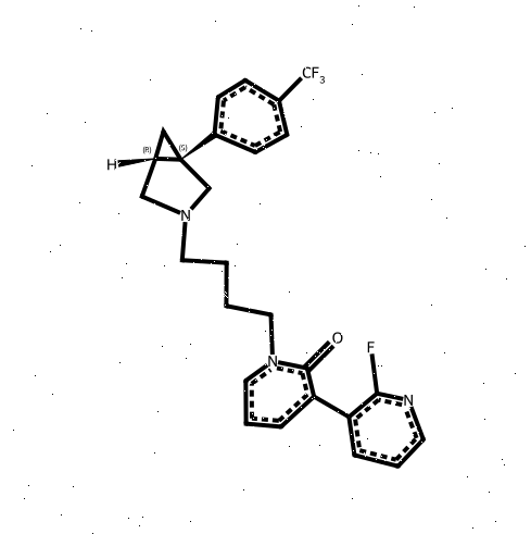 O=c1c(-c2cccnc2F)cccn1CCCCN1C[C@@H]2C[C@]2(c2ccc(C(F)(F)F)cc2)C1